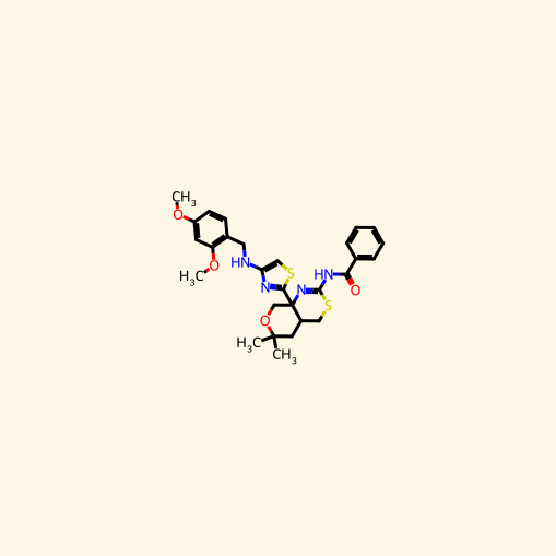 COc1ccc(CNc2csc(C34COC(C)(C)CC3CSC(NC(=O)c3ccccc3)=N4)n2)c(OC)c1